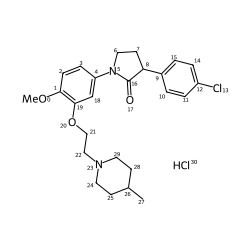 COc1ccc(N2CCC(c3ccc(Cl)cc3)C2=O)cc1OCCN1CCC(C)CC1.Cl